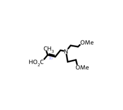 COCCN(C/C=C(\C)C(=O)O)CCOC